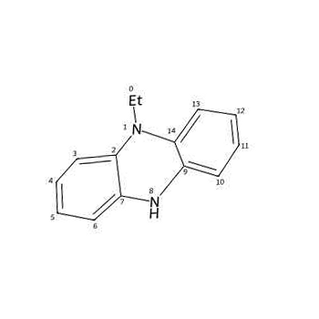 CCN1c2ccccc2Nc2ccccc21